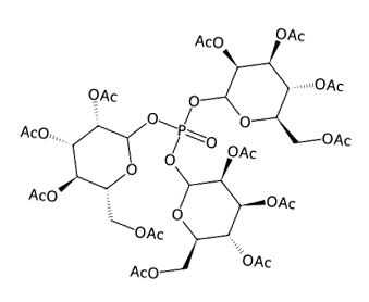 CC(=O)OC[C@H]1OC(OP(=O)(OC2O[C@H](COC(C)=O)[C@@H](OC(C)=O)[C@H](OC(C)=O)[C@@H]2OC(C)=O)OC2O[C@H](COC(C)=O)[C@@H](OC(C)=O)[C@H](OC(C)=O)[C@@H]2OC(C)=O)[C@@H](OC(C)=O)[C@@H](OC(C)=O)[C@@H]1OC(C)=O